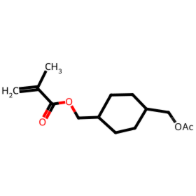 C=C(C)C(=O)OCC1CCC(COC(C)=O)CC1